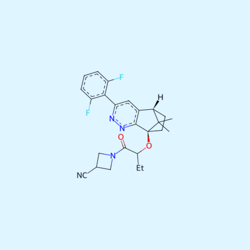 CCC(O[C@@]12CC[C@@H](c3cc(-c4c(F)cccc4F)nnc31)C2(C)C)C(=O)N1CC(C#N)C1